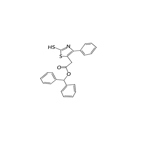 O=C(Cc1sc(S)nc1-c1ccccc1)OC(c1ccccc1)c1ccccc1